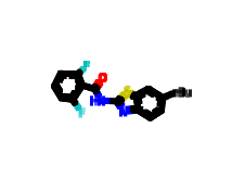 CCCCc1ccc2nc(NC(=O)c3c(F)cccc3F)sc2c1